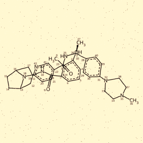 Cc1c(O)cccc1C(=O)NC1CC2CCC(C1)N2c1ccc(C(=O)N[C@@H](C)c2ccc(N3CCN(C)CC3)cc2)cn1